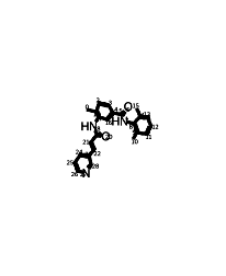 Cc1ccc(C(=O)Nc2c(C)cccc2C)cc1NC(=O)C=Cc1cccnc1